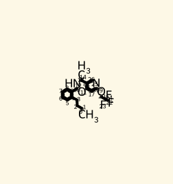 CCCCc1ccccc1C(=O)NC(C)c1ccc(OCC(F)(F)F)nc1